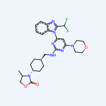 CC1COC(=O)N1[C@H]1CC[C@H](CNc2nc(N3CCOCC3)cc(-n3c(C(F)F)nc4ccccc43)n2)CC1